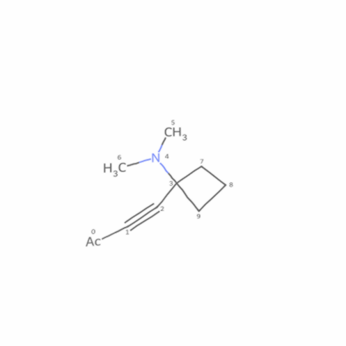 CC(=O)C#CC1(N(C)C)CCC1